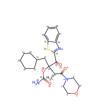 CC(C(=O)N1CCOCC1)C(CC1CCCCC1)(OC(N)=O)C(=O)c1nc2ccccc2s1